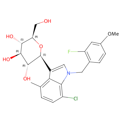 COc1ccc(Cn2cc([C@@H]3O[C@H](CO)[C@@H](O)[C@H](O)[C@H]3O)c3c(C)ccc(Cl)c32)c(F)c1